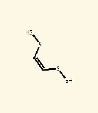 SS/C=C\SS